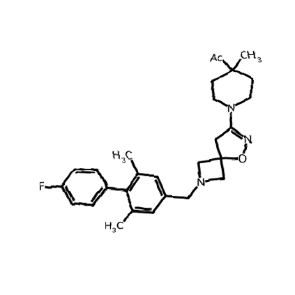 CC(=O)C1(C)CCN(C2=NOC3(C2)CN(Cc2cc(C)c(-c4ccc(F)cc4)c(C)c2)C3)CC1